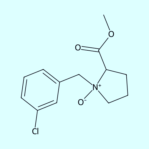 COC(=O)C1CCC[N+]1([O-])Cc1cccc(Cl)c1